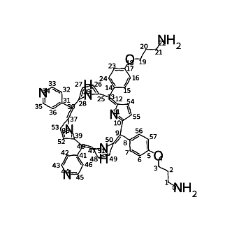 NCCCOc1ccc(-c2c3nc(c(-c4ccc(OCCCN)cc4)c4ccc([nH]4)c(-c4ccncc4)c4nc(c(-c5ccncc5)c5ccc2[nH]5)C=C4)C=C3)cc1